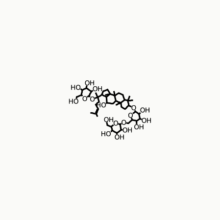 CC(C)=CCCC(C)(OC1OC(CO)C(O)C(O)C1O)C1CCC2(C)C1C(O)CC1C3(C)CCC(OC4OC(COC5OC(CO)C(O)C(O)C5O)C(O)C(O)C4O)C(C)(C)C3CCC12C